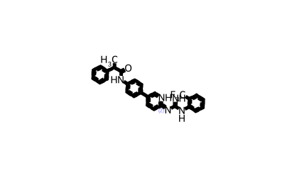 CC(C(=O)Nc1ccc(-c2cc/c(=N/C(=N)Nc3ccccc3C(F)(F)F)[nH]c2)cc1)c1ccccc1